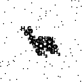 COC(=O)C1CC2(C1)CN(Cc1c(OC)cc(-c3cn(C)c(=O)c4cnccc34)cc1OC)C2